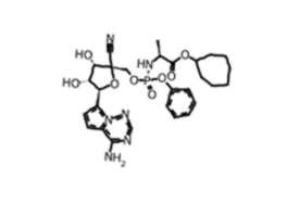 C[C@H](N[P@](=O)(OC[C@@]1(C#N)O[C@@H](c2ccc3c(N)ncnn23)[C@H](O)[C@@H]1O)Oc1ccccc1)C(=O)OC1CCCCCC1